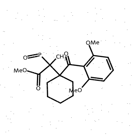 COC(=O)C(C)(P=O)C1(C(=O)c2c(OC)cccc2OC)CCCCC1